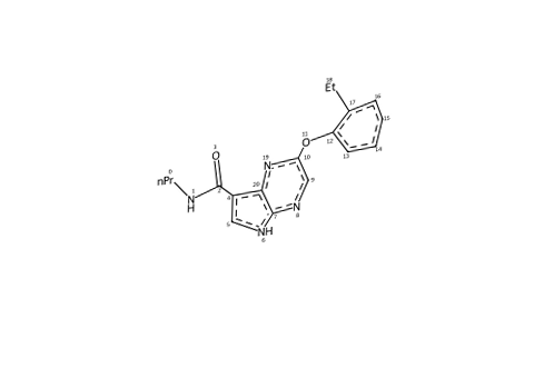 CCCNC(=O)c1c[nH]c2ncc(Oc3ccccc3CC)nc12